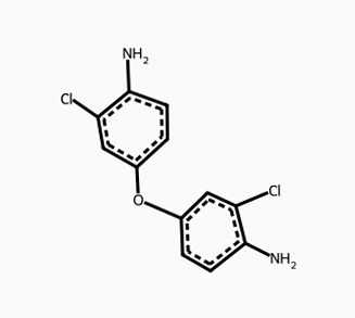 Nc1ccc(Oc2ccc(N)c(Cl)c2)cc1Cl